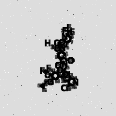 CS(=O)(=O)N(Cc1ccc(C(F)(F)F)nc1)c1ccc2c(c1)C(=O)N(CC(=O)O[C@@H](Cc1c(Cl)cncc1Cl)c1ccc(OC(F)F)c(OCC3CC3)c1)C2=O